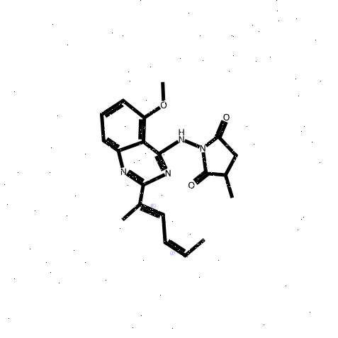 C/C=C\C=C(/C)c1nc(NN2C(=O)CC(C)C2=O)c2c(OC)cccc2n1